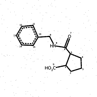 O=C(O)C1CCCC1C(=O)NCc1ccccc1